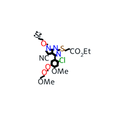 CCOC(=O)CCSc1nc(-c2cc(OCOCCOC)c(OC)cc2Cl)c2c(C#N)cn(COCC[Si](C)(C)C)c2n1